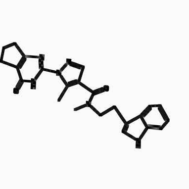 Cc1c(C(=O)N(C)CCc2c[nH]c3ccccc23)cnn1-c1nc2c(c(=O)[nH]1)CCC2